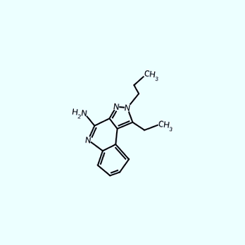 CCCn1nc2c(N)nc3ccccc3c2c1CC